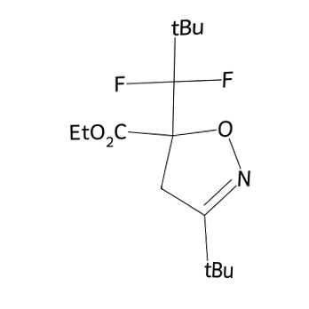 CCOC(=O)C1(C(F)(F)C(C)(C)C)CC(C(C)(C)C)=NO1